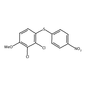 COc1ccc(Sc2ccc([N+](=O)[O-])cc2)c(Cl)c1Cl